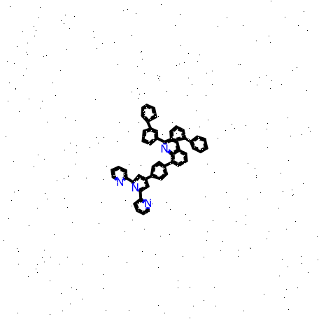 c1ccc(-c2cccc(-c3nc4c(-c5ccc(-c6cc(-c7ccccn7)nc(-c7ccccn7)c6)cc5)cccc4c4c(-c5ccccc5)cccc34)c2)cc1